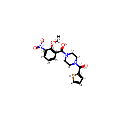 COc1c(C(=O)N2CCN(C(=O)c3cccs3)CC2)cccc1[N+](=O)[O-]